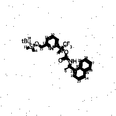 C[C@@H](NC(=O)OC(C)(c1cccc(CO[Si](C)(C)C(C)(C)C)n1)C(F)(F)F)c1cccc2ccccc12